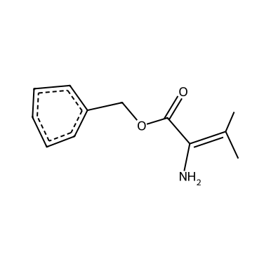 CC(C)=C(N)C(=O)OCc1ccccc1